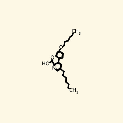 CCCCCCCc1cnc(C(=O)O)c(-c2ccc(OCCCCCC)cc2)c1